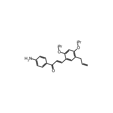 C=CCc1cc(C=CC(=O)c2ccc(N)cc2)c(OC(C)C)cc1OC(C)C